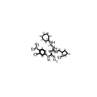 CCN(CC)c1ccc(N/C(N)=N/C(=N\CNC2CCCCCC2)NCC2CCCN2CC)cc1Cl